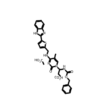 CC(=O)O.Cc1cn(C(CC(=O)O)NC(=O)OCc2ccccc2)c(=O)nc1NCc1ccc(-c2nc3ccccc3[nH]2)s1